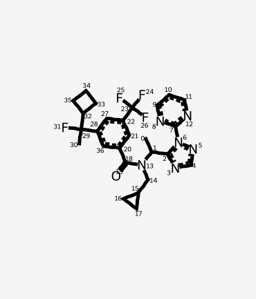 CC(c1ncnn1-c1ncccn1)N(CC1CC1)C(=O)c1cc(C(F)(F)F)cc(C(C)(F)C2CCC2)c1